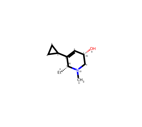 CC[C@@H]1C(C2CC2)=C[C@H](O)CN1C